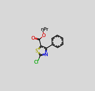 CCCOC(=O)c1sc(Cl)nc1-c1ccccc1